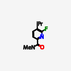 CNC(=O)c1ccc(C(C)C)c(F)n1